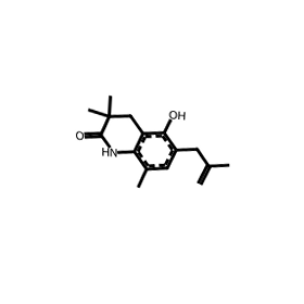 C=C(C)Cc1cc(C)c2c(c1O)CC(C)(C)C(=O)N2